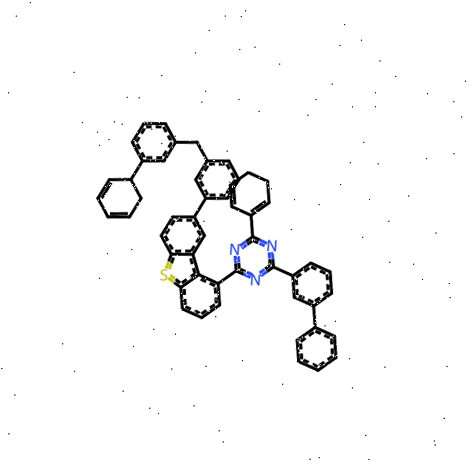 C1=CCC(c2cccc(Cc3cccc(-c4ccc5sc6cccc(-c7nc(C8=CCCC=C8)nc(-c8cccc(-c9ccccc9)c8)n7)c6c5c4)c3)c2)C=C1